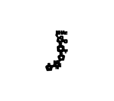 CC(=O)NC[C@H]1CN(c2ccc(N3CCC(n4nnc(-c5cccs5)n4)C3)c(F)c2)C(=O)O1